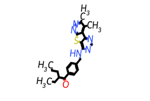 CCCC(CC)C(=O)c1ccc(CNc2ncnc3c2sc2nnc(C)c(C)c23)cc1